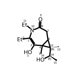 CCC1=C(O)C2(C)C(CC(=O)N1CC)[C@@]2(C)[C@@H](C)O